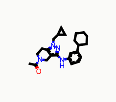 CC(=O)N1CCc2c(c(Nc3cccc(C4CCCCC4)c3)nn2CC2CC2)C1